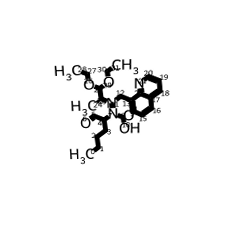 CCCCC(C=O)N(C(=O)O)N(Cc1cccc2cccnc12)[C@@H](C)C(OCC)OCC